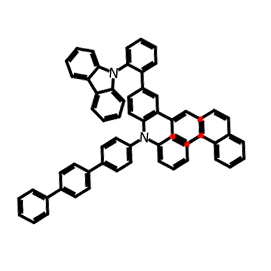 C1=CC(c2cc(-c3ccccc3-n3c4ccccc4c4ccccc43)ccc2N(c2ccc(-c3ccc(-c4ccccc4)cc3)cc2)c2cccc(-c3cccc4ccccc34)c2)=CCC1